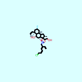 C=C/C(=C\C=C/CCl)CN(C)O[C@]1(C(=O)CO)[C@H](C)CC2[C@@H]3C[C@H](F)C[C@](C)(/C=C\C(C)=O)C3[C@@H](O)C[C@@]21C